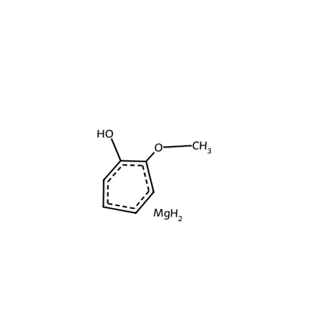 COc1ccccc1O.[MgH2]